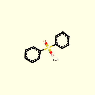 O=S(=O)(c1ccccc1)c1ccccc1.[Ca]